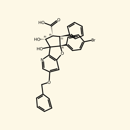 O=C(O)[C@H]1[C@@H](O)C2(O)c3ncc(OCc4ccccc4)cc3O[C@@]2(c2ccc(Br)cc2)[C@@H]1c1ccccc1